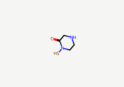 O=C1CNCCN1S